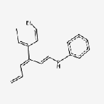 C=C/C=C(\C=C\Pc1ccccc1)C(/C=C\CC)=C/C